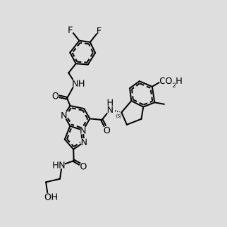 Cc1c(C(=O)O)ccc2c1CC[C@@H]2NC(=O)c1cc(C(=O)NCc2ccc(F)c(F)c2)nc2cc(C(=O)NCCO)nn12